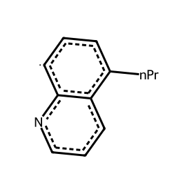 CCCc1cc[c]c2ncccc12